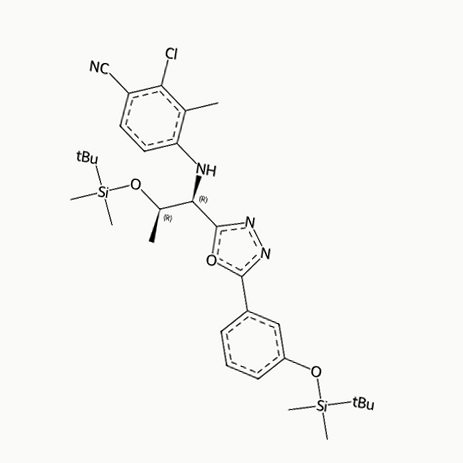 Cc1c(N[C@@H](c2nnc(-c3cccc(O[Si](C)(C)C(C)(C)C)c3)o2)[C@@H](C)O[Si](C)(C)C(C)(C)C)ccc(C#N)c1Cl